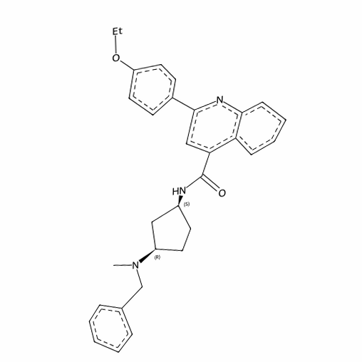 CCOc1ccc(-c2cc(C(=O)N[C@H]3CC[C@@H](N(C)Cc4ccccc4)C3)c3ccccc3n2)cc1